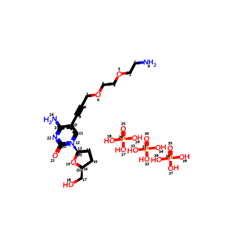 NCCOCCOCC#Cc1cn([C@H]2CC[C@@H](CO)O2)c(=O)nc1N.O=P(O)(O)O.O=P(O)(O)O.O=P(O)(O)O